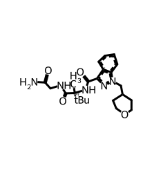 CC(C)(C)[C@](C)(NC(=O)c1nn(CC2CCOCC2)c2ccccc12)C(=O)NCC(N)=O